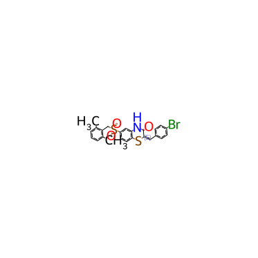 Cc1cccc(C)c1CS(=O)(=O)c1ccc2c(c1)NC(=O)/C(=C\c1ccc(Br)cc1)S2